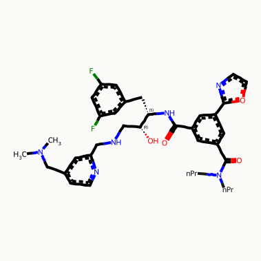 CCCN(CCC)C(=O)c1cc(C(=O)N[C@@H](Cc2cc(F)cc(F)c2)[C@H](O)CNCc2cc(CN(C)C)ccn2)cc(-c2ncco2)c1